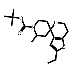 CCc1cc2c(s1)CCOC21CCN(C(=O)OC(C)(C)C)C(C)C1